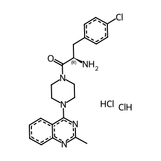 Cc1nc(N2CCN(C(=O)[C@H](N)Cc3ccc(Cl)cc3)CC2)c2ccccc2n1.Cl.Cl